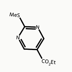 CCOC(=O)c1cnc(SC)nc1